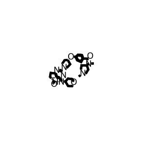 CN1CCC(N(C)C(=O)c2ccc(OC3CCN(c4nc5c(c(NC6CCOCC6)n4)[S+]([O-])CC5)CC3)cc2)CC1